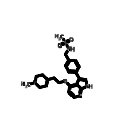 CN1CCC(CCOc2ccnc3[nH]cc(-c4ccc(CNS(C)(=O)=O)cc4)c23)CC1